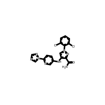 NC(=O)c1nn(-c2c(Cl)cccc2Cl)cc1Nc1ccc(-n2cncn2)nc1